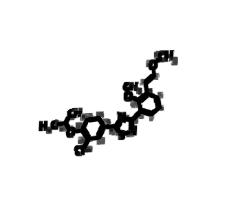 CO/C=C/c1cccc(-c2nsc(-c3ccc(OC(C)C)c(Cl)c3)n2)c1OC